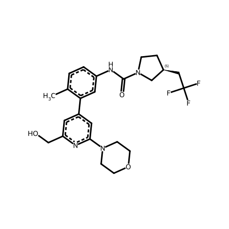 Cc1ccc(NC(=O)N2CC[C@@H](CC(F)(F)F)C2)cc1-c1cc(CO)nc(N2CCOCC2)c1